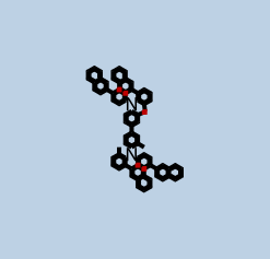 Cc1cc(-c2ccc(N(c3ccc(-c4ccc5ccccc5c4)cc3)c3c(C)cccc3-c3ccc4ccccc4c3)c(C)c2)ccc1N(c1ccc(-c2ccc3ccccc3c2)cc1)c1c(C)cccc1-c1ccc2ccccc2c1